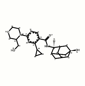 O=C(N[C@H]1C2CC3CC1C[C@@](O)(C3)C2)c1cnc(N2CCOCC2CO)nc1C1CC1